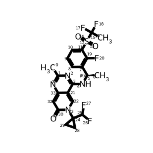 Cc1nc(N[C@H](C)c2cccc(S(=O)(=O)C(C)(F)F)c2F)c2cn(C3(C(F)F)CC3)c(=O)cc2n1